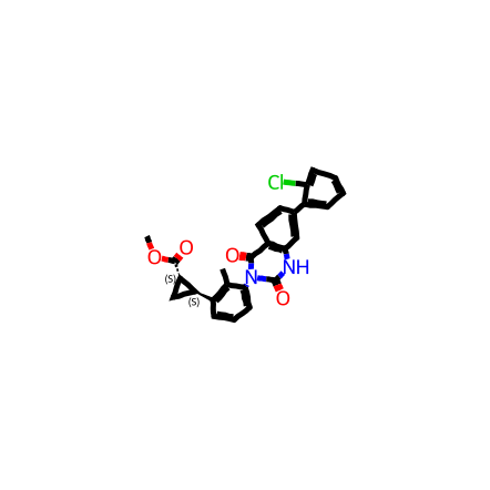 COC(=O)[C@H]1C[C@@H]1c1cccc(-n2c(=O)[nH]c3cc(-c4ccccc4Cl)ccc3c2=O)c1C